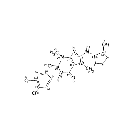 Cn1c(N[C@H]2CCC[C@@H]2O)nc2c1c(=O)n(Cc1ccc(Cl)c(Cl)c1)c(=O)n2C